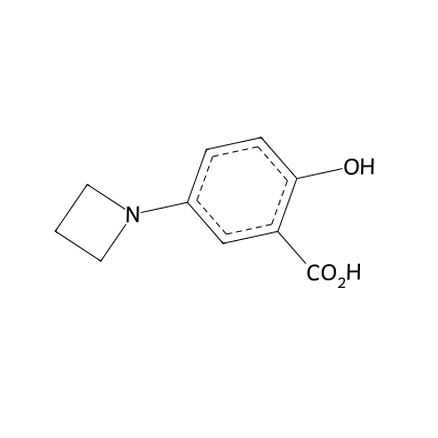 O=C(O)c1cc(N2CCC2)ccc1O